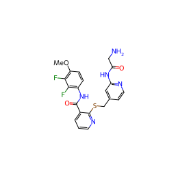 COc1ccc(NC(=O)c2cccnc2SCc2ccnc(NC(=O)CN)c2)c(F)c1F